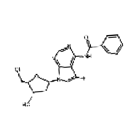 O=C(Nc1ncnc2c1c(F)cn2[C@H]1C[C@H](O)[C@@H](CO)O1)c1ccccc1